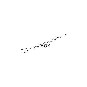 CCCCCCCCCCCCCCCCCCN.CCO